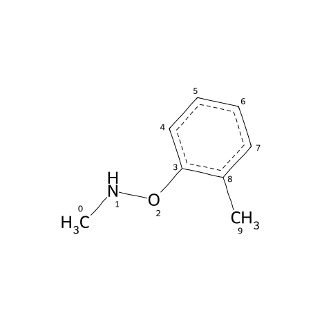 CNOc1ccccc1C